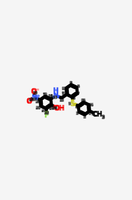 Cc1ccc(Sc2ccccc2CNc2cc([N+](=O)[O-])cc(F)c2O)cc1